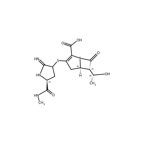 CNC(=O)[C@@H]1CC(SC2=C(C(=O)O)N3C(=O)[C@H]([C@@H](C)O)[C@H]3C2)C(=N)N1